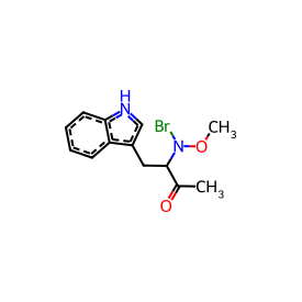 CON(Br)C(Cc1c[nH]c2ccccc12)C(C)=O